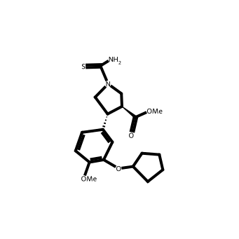 COC(=O)[C@@H]1CN(C(N)=S)C[C@H]1c1ccc(OC)c(OC2CCCC2)c1